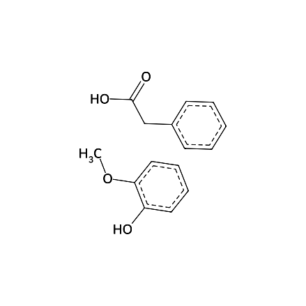 COc1ccccc1O.O=C(O)Cc1ccccc1